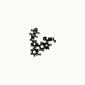 Cc1cccc(-c2nc(CN3CC4(COC4)C3)cn2-c2ccc3ncc(C(N)=O)n3c2)n1